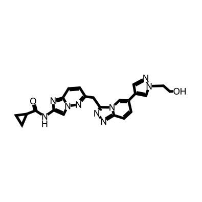 O=C(Nc1cn2nc(Cc3nnc4ccc(-c5cnn(CCO)c5)cn34)ccc2n1)C1CC1